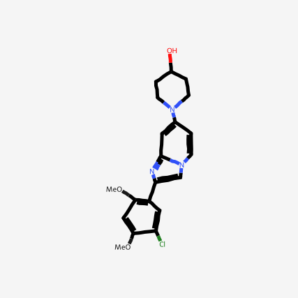 COc1cc(OC)c(-c2cn3ccc(N4CCC(O)CC4)cc3n2)cc1Cl